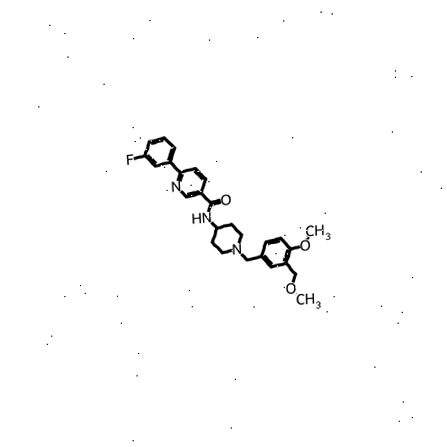 COCc1cc(CN2CCC(NC(=O)c3ccc(-c4cccc(F)c4)nc3)CC2)ccc1OC